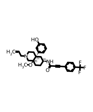 C=CCN1CC[C@@]2(c3cccc(O)c3)C[C@@H](NC(=O)C#Cc3ccc(C(F)(F)F)cc3)CC[C@]2(OC)C1